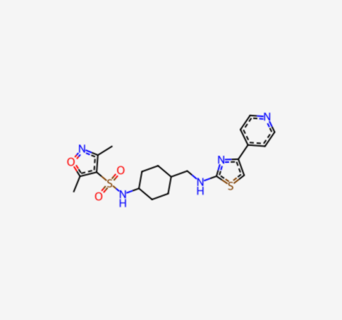 Cc1noc(C)c1S(=O)(=O)NC1CCC(CNc2nc(-c3ccncc3)cs2)CC1